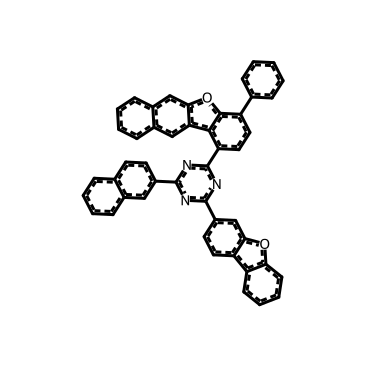 c1ccc(-c2ccc(-c3nc(-c4ccc5ccccc5c4)nc(-c4ccc5c(c4)oc4ccccc45)n3)c3c2oc2cc4ccccc4cc23)cc1